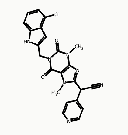 Cn1c(C(C#N)c2ccncc2)nc2c1c(=O)n(Cc1cc3c(Cl)cccc3[nH]1)c(=O)n2C